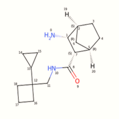 N[C@@H]1[C@H]2CC[C@H](C2)[C@@H]1C(=O)NCC1(C2CC2)CCC1